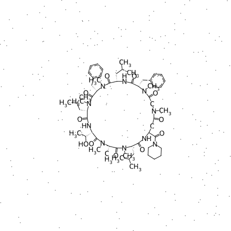 CC(C)C[C@@H]1NC(=O)[C@H](Cc2ccccc2)N(C)C(=O)CN(C)C(=O)CC(C(=O)N2CCCCC2)NC(=O)[C@H](CC(C)C)N(C)C(=O)[C@H](C)N(C)C(=O)[C@H](C(C)O)NC(=O)[C@H](CC(C)C)N(C)C(=O)[C@H](Cc2ccccc2)N(C)C1=O